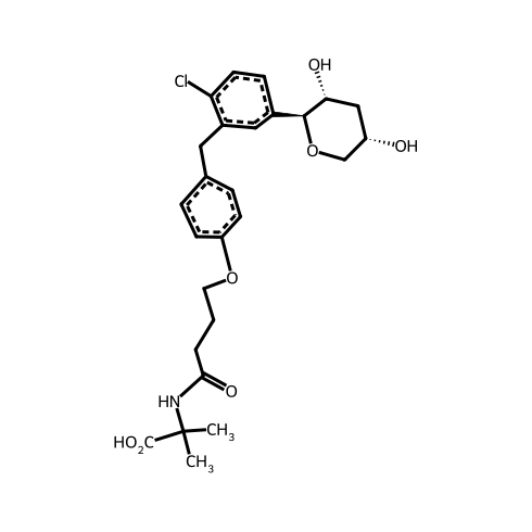 CC(C)(NC(=O)CCCOc1ccc(Cc2cc([C@@H]3OC[C@@H](O)C[C@H]3O)ccc2Cl)cc1)C(=O)O